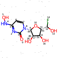 O=c1nc(NO)ccn1[C@@H]1O[C@H](C(O)F)[C@@H](O)[C@H]1O